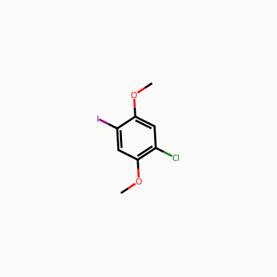 COc1cc(I)c(OC)cc1Cl